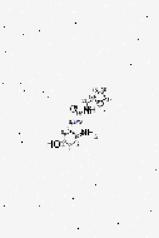 Nc1ccc(O)cc1/C=C/C(=O)NCc1ccco1